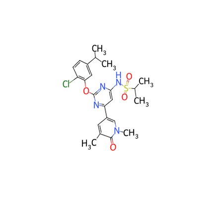 Cc1cc(-c2cc(NS(=O)(=O)C(C)C)nc(Oc3cc(C(C)C)ccc3Cl)n2)cn(C)c1=O